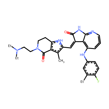 CCc1cc(NC2=C3C(=NC=C=C2)NC(=O)/C3=C\c2[nH]c3c(c2C)C(=O)N(CCN(CC)CC)CC3)ccc1F